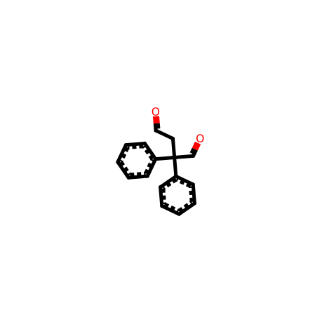 O=CCC(C=O)(c1ccccc1)c1ccccc1